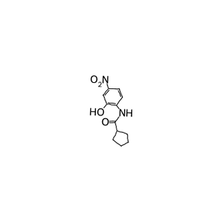 O=C(Nc1ccc([N+](=O)[O-])cc1O)C1CCCC1